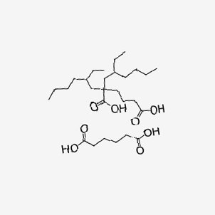 CCCCC(CC)CC(CCCC(=O)O)(CC(CC)CCCC)C(=O)O.O=C(O)CCCCC(=O)O